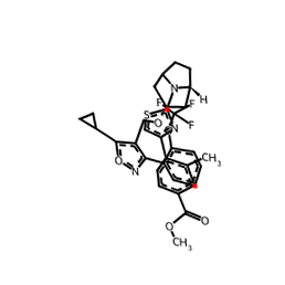 COC(=O)c1ccc(-c2csc(N3C4CC[C@@H]3C[C@H](OCc3c(-c5ccccc5OC(F)(F)F)noc3C3CC3)C4)n2)c(C)c1